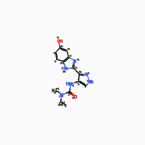 CN(C)C(=O)Nc1c[nH]nc1-c1nc2cc(O)ccc2[nH]1